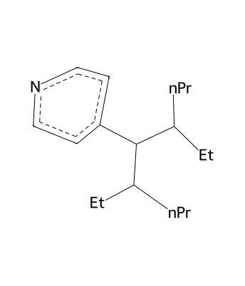 CCCC(CC)C(c1ccncc1)C(CC)CCC